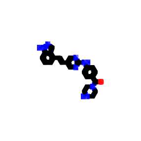 O=C(c1ccc(Nc2ncc(/C=C/c3cccc4[nH]ncc34)cn2)cc1)N1CCNCC1